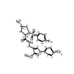 COc1nn(-c2ccc(C(F)(F)F)cc2)cc1CNC(=O)[C@H]1C[C@@H](C#N)CN1S(=O)(=O)c1ccc(F)cc1